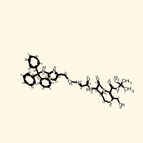 CC(C)(C)OC(=O)C1=C(CO)SCC2C(NC(=O)C=NOCc3csc(NC(c4ccccc4)(c4ccccc4)c4ccccc4)n3)C(=O)N12